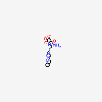 COc1cc2c(=O)n(N)c(CCCCN3CCN(c4ccc5ccccc5n4)CC3)nc2c(OC)c1OC